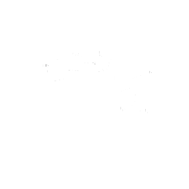 CC(C)Oc1ccc(C2=CN(c3ccc4c(c3)CCCNC4)NO2)cc1C#N